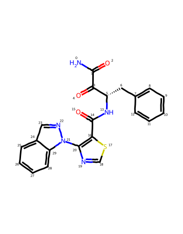 NC(=O)C(=O)[C@H](Cc1ccccc1)NC(=O)c1scnc1-n1ncc2ccccc21